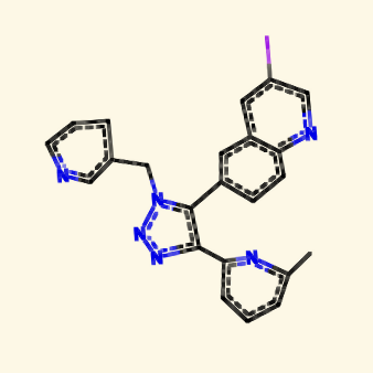 Cc1cccc(-c2nnn(Cc3cccnc3)c2-c2ccc3ncc(I)cc3c2)n1